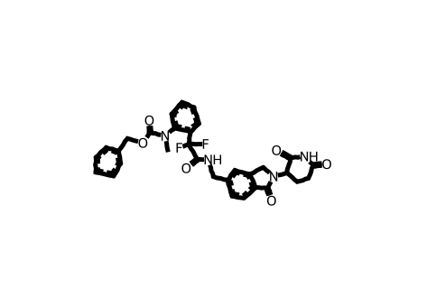 CN(C(=O)OCc1ccccc1)c1ccccc1C(F)(F)C(=O)NCc1ccc2c(c1)CN(C1CCC(=O)NC1=O)C2=O